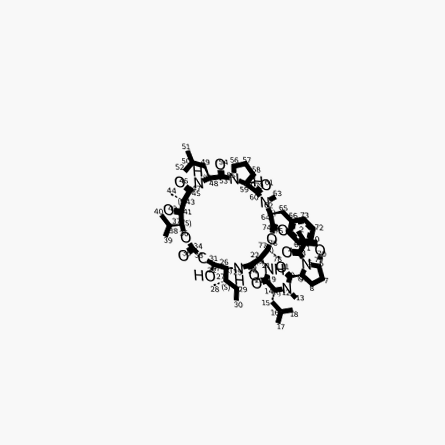 C=C(C)C(=O)N1CCC[C@H]1C(=O)N(C)[C@H](CC(C)C)C(=O)N[C@@H]1C(=O)N[C@H]([C@@H](C)CC)[C@@H](O)CC(=O)O[C@@H](C(C)C)C(=O)[C@H](C)C(=O)N[C@@H](CC(C)C)C(=O)N2CCC[C@H]2C(=O)N(C)[C@@H](Cc2ccc(OC)cc2)C(=O)O[C@@H]1C